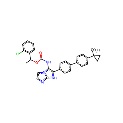 CC(OC(=O)Nc1c(-c2ccc(-c3ccc(C4(C(=O)O)CC4)cc3)cc2)[nH]c2nccn12)c1ccccc1Cl